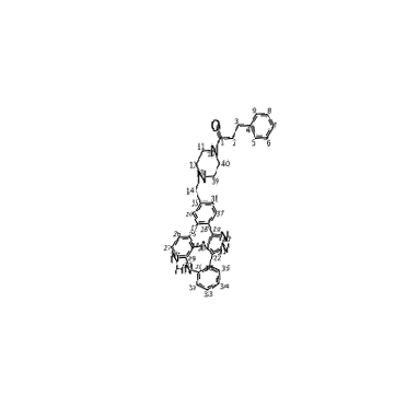 O=C(CCc1ccccc1)N1CCN(Cc2ccc(-c3nnc4n3-c3cccnc3Nc3ccccc3-4)cc2)CC1